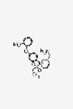 NCC1=C[N+](c2ccc(Oc3ccccc3O)cc2)(S(=O)(=O)CC(F)(F)F)CC=C1